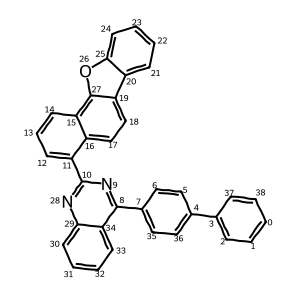 c1ccc(-c2ccc(-c3nc(-c4cccc5c4ccc4c6ccccc6oc54)nc4ccccc34)cc2)cc1